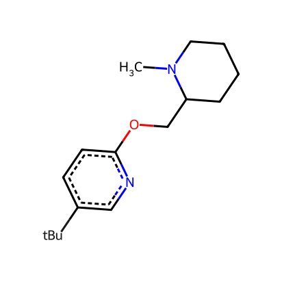 CN1CCCCC1COc1ccc(C(C)(C)C)cn1